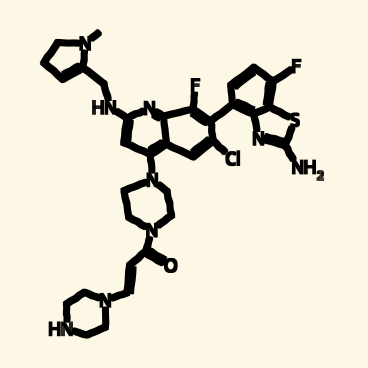 CN1CCC=C1CNc1cc(N2CCN(C(=O)C=CN3CCNCC3)CC2)c2cc(Cl)c(-c3ccc(F)c4sc(N)nc34)c(F)c2n1